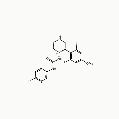 COc1cc(F)c(C2CNCC[C@H]2NC(=O)Nc2ccc(C(F)(F)F)nc2)c(F)c1